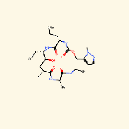 CSCC[C@H](NC(=O)OCc1ccnn1C)C(=O)N[C@@H](CC(C)C)[C@@H](O)C[C@@H](C)C(=O)N[C@H](C(=O)NCC(C)C)C(C)C